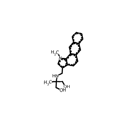 Cn1cc(CNC(C)(CO)CO)c2ccc3cc4ccccc4cc3c21